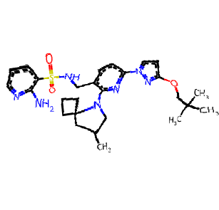 CC1CN(c2nc(-n3ccc(OCC(C)(C)C)n3)ccc2CNS(=O)(=O)c2cccnc2N)C2(CCC2)C1